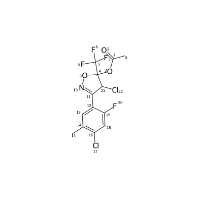 CC(=O)OC1(C(F)(F)F)ON=C(c2cc(C)c(Cl)cc2F)C1Cl